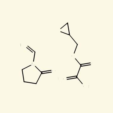 C=C(C)C(=O)OCC1CO1.C=CN1CCCC1=O